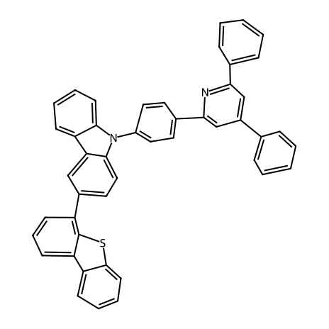 c1ccc(-c2cc(-c3ccccc3)nc(-c3ccc(-n4c5ccccc5c5cc(-c6cccc7c6sc6ccccc67)ccc54)cc3)c2)cc1